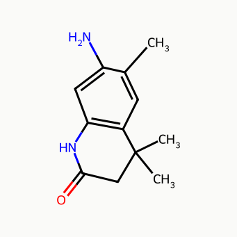 Cc1cc2c(cc1N)NC(=O)CC2(C)C